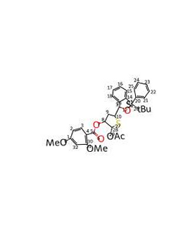 COc1ccc(C(=O)OC2CC(CO[Si](c3ccccc3)(c3ccccc3)C(C)(C)C)SC2OC(C)=O)c(OC)c1